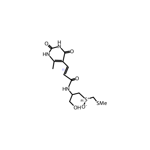 CSC[S@@+]([O-])CC(CO)NC(=O)/C=C/c1c(C)[nH]c(=O)[nH]c1=O